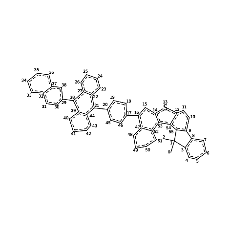 CC1(C)c2ccccc2-c2ccc3sc4cc(-c5ccc(-c6c7ccccc7c(-c7ccc8ccccc8c7)c7ccccc67)cc5)c5ccccc5c4c3c21